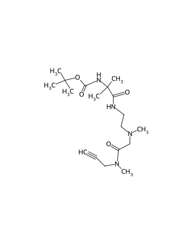 C#CCN(C)C(=O)CN(C)CCNC(=O)C(C)(C)NC(=O)OC(C)(C)C